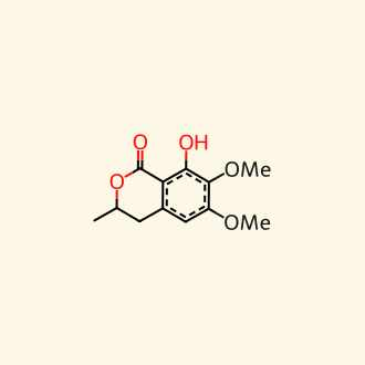 COc1cc2c(c(O)c1OC)C(=O)OC(C)C2